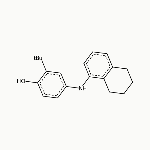 CC(C)(C)c1cc(Nc2cccc3c2CCCC3)ccc1O